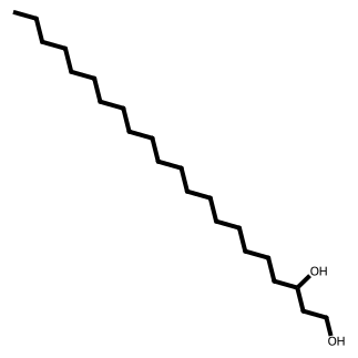 CCCCCCCCCCCCCCCCCCCC(O)CCO